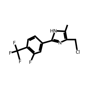 Cc1[nH]c(-c2ccc(C(F)(F)F)c(F)c2)nc1CCl